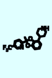 CC1(c2ccc(C(F)(F)F)cn2)Oc2cccc(C3CCNCC3)c2O1